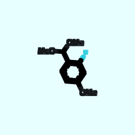 COc1ccc(C(OC)OC)c(F)c1